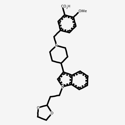 COc1ccc(CN2CCC(c3cn(CCC4OCCO4)c4ccccc34)CC2)cc1C(=O)O